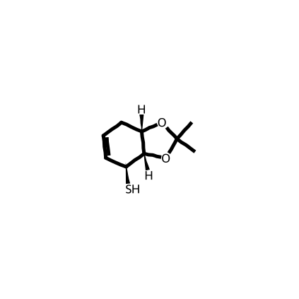 CC1(C)O[C@H]2[C@H](CC=C[C@@H]2S)O1